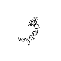 CCc1nc2c([nH]c1=O)C[C@@H](CN1CCN(c3ccc(C(=O)NC)nc3F)CC1)CC2